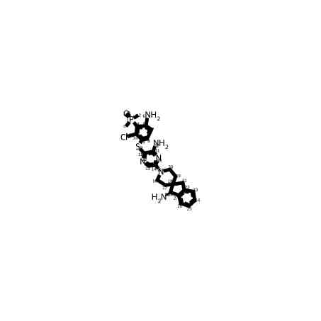 CP(C)(=O)c1c(N)ccc(Sc2ncc(N3CCC4(CC3)Cc3ccccc3[C@H]4N)nc2N)c1Cl